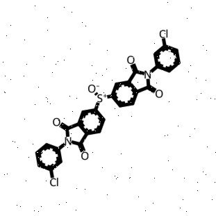 O=C1c2ccc([S+]([O-])c3ccc4c(c3)C(=O)N(c3cccc(Cl)c3)C4=O)cc2C(=O)N1c1cccc(Cl)c1